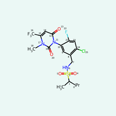 CC(C)C(C)S(=O)(=O)NCc1cc(-n2c(=O)cc(C(F)(F)F)n(C)c2=O)c(F)cc1Cl